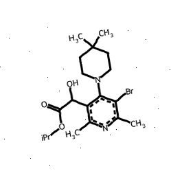 Cc1nc(C)c(C(O)C(=O)OC(C)C)c(N2CCC(C)(C)CC2)c1Br